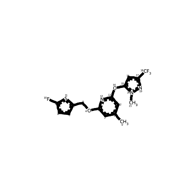 Cc1cc(OCc2ccc(F)s2)nc(Oc2cc(C(F)(F)F)nn2C)c1